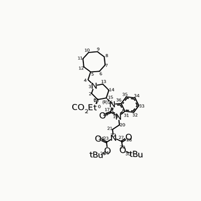 CCOC(=O)[C@H]1CN(CC2CCCCCCC2)CC[C@H]1n1c(=O)n(CCN(C(=O)OC(C)(C)C)C(=O)OC(C)(C)C)c2ccccc21